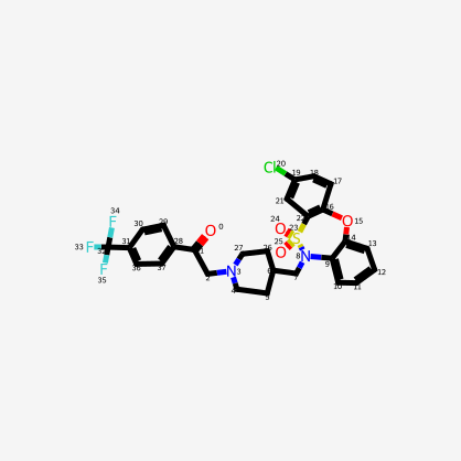 O=C(CN1CCC(CN2c3ccccc3Oc3ccc(Cl)cc3S2(=O)=O)CC1)c1ccc(C(F)(F)F)cc1